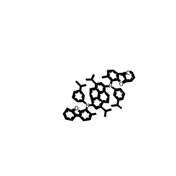 Cc1ccc2c(oc3ccccc32)c1N(c1cccc(C(C)C)c1)c1cc(C(C)C)c2ccc3c(N(c4cccc(C(C)C)c4)c4c(C)ccc5c4oc4ccccc45)cc(C(C)C)c4ccc1c2c43